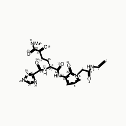 C=CNC(=O)Cn1cccc(NC(=O)[C@H](CCC(=O)C(=O)NC)NC(=O)c2ncns2)c1=O